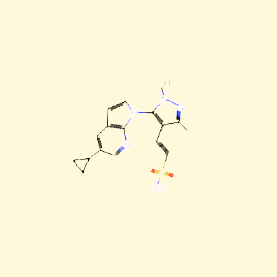 Cc1nn(C)c(-n2ccc3cc(C4CC4)cnc32)c1/C=C/S(N)(=O)=O